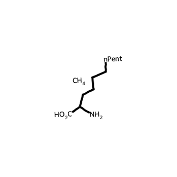 C.CCCCCCCCCC(N)C(=O)O